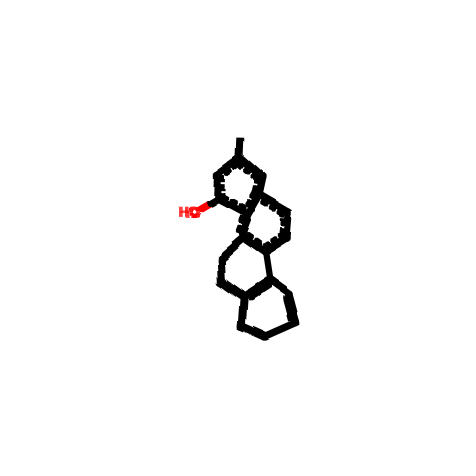 Cc1cc(O)c2c3c(ccc2c1)C1=C(CCC=C1)CC3